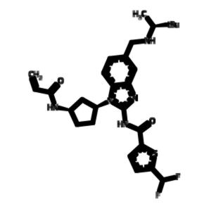 C=CC(=O)N[C@@H]1CC[C@H](n2c(NC(=O)c3ccc(C(F)F)s3)nc3cc(CN[C@@H](C)C(C)(C)C)ccc32)C1